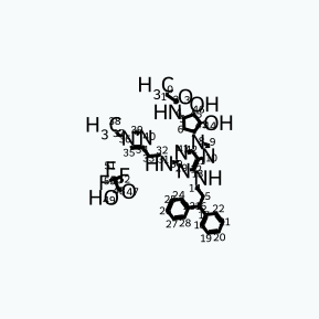 CCC(=O)N[C@H]1C[C@@H](n2cnc3c(NCCC(c4ccccc4)c4ccccc4)nc(NCCc4cn(CC)cn4)nc32)[C@H](O)[C@@H]1O.O=C(O)C(F)(F)F